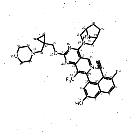 C#Cc1c(F)ccc2cc(O)cc(-c3ncc4c(N5CC6CCC(C5)N6)nc(OCC5(CN6CCOCC6)CC5)nc4c3C(F)(F)F)c12